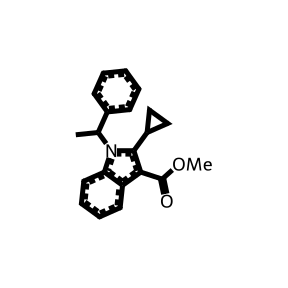 COC(=O)c1c(C2CC2)n(C(C)c2ccccc2)c2ccccc12